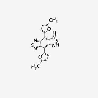 Cc1ccc(-c2c3c(c(-c4ccc(C)o4)c4nsnc24)NSN3)o1